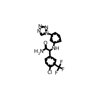 NC(=O)C(Nc1cccc(-n2cnnn2)c1)c1ccc(Cl)c(C(F)(F)F)c1